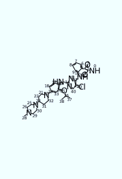 CNS(=O)(=O)c1ccccc1Nc1nc(Nc2ccc(N3CCC(N4CCN(C)CC4)CC3)cc2OC(C)C)ncc1Cl